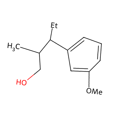 CCC(c1cccc(OC)c1)C(C)CO